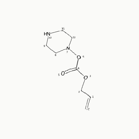 C=CCOC(=O)ON1CCNCC1